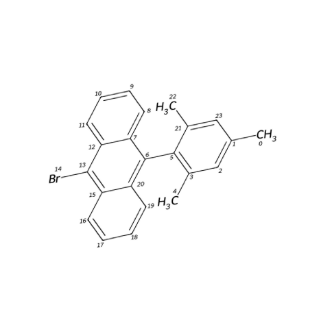 Cc1cc(C)c(-c2c3ccccc3c(Br)c3ccccc23)c(C)c1